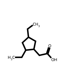 CCC1CC(CC)C(CC(=O)O)C1